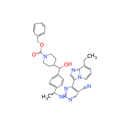 CCc1cccn2c(-c3nc(N[C@@H](C)c4ccc(C(O)C5CCN(C(=O)OCc6ccccc6)CC5)cc4)ncc3C#N)cnc12